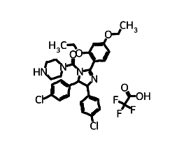 CCOc1ccc(C2=NC(c3ccc(Cl)cc3)C(c3ccc(Cl)cc3)N2C(=O)N2CCNCC2)c(OCC)c1.O=C(O)C(F)(F)F